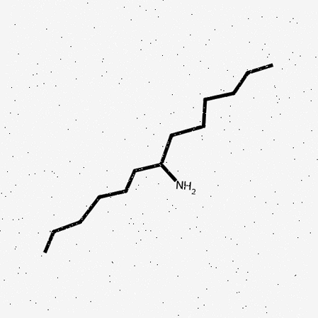 C[CH]CCCCC(N)CCCCCC